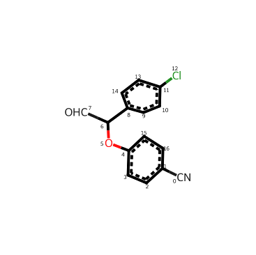 N#Cc1ccc(OC(C=O)c2ccc(Cl)cc2)cc1